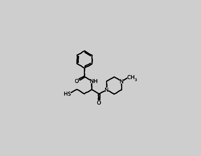 CN1CCN(C(=O)C(CCS)NC(=O)c2ccccc2)CC1